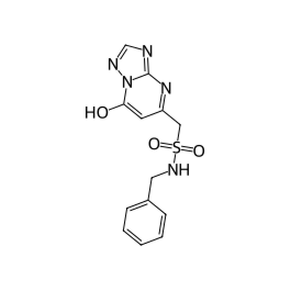 O=S(=O)(Cc1cc(O)n2ncnc2n1)NCc1ccccc1